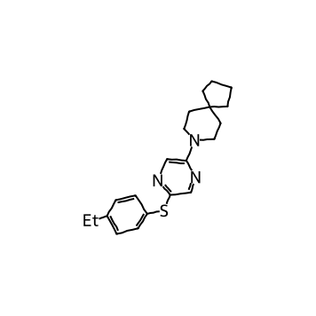 CCc1ccc(Sc2cnc(N3CCC4(CCCC4)CC3)cn2)cc1